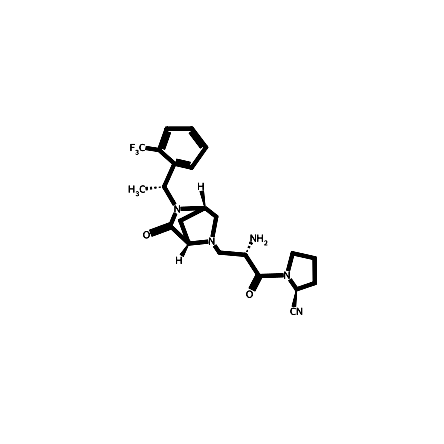 C[C@H](c1ccccc1C(F)(F)F)N1C(=O)[C@@H]2C[C@H]1CN2C[C@H](N)C(=O)N1CCC[C@H]1C#N